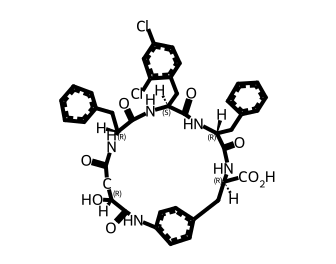 O=C1C[C@@H](O)C(=O)Nc2ccc(cc2)C[C@H](C(=O)O)NC(=O)[C@@H](Cc2ccccc2)NC(=O)[C@H](Cc2ccc(Cl)cc2Cl)NC(=O)[C@@H](Cc2ccccc2)N1